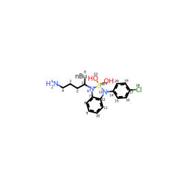 CCCCC(CCCN)N1c2ccccc2N(c2ccc(Cl)cc2)S1(O)O